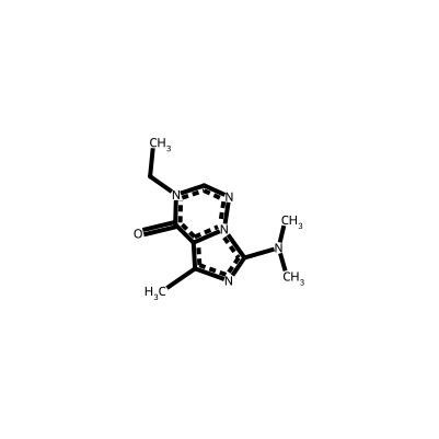 CCn1cnn2c(N(C)C)nc(C)c2c1=O